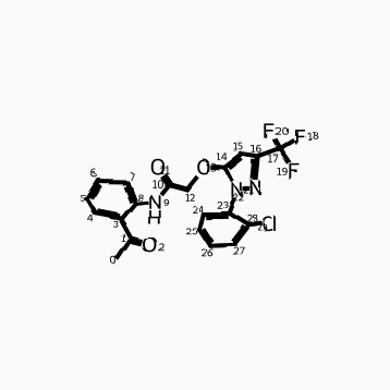 CC(=O)c1ccccc1NC(=O)COc1cc(C(F)(F)F)nn1-c1ccccc1Cl